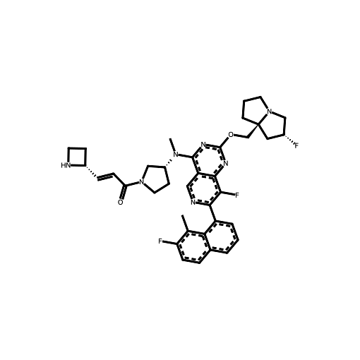 Cc1c(F)ccc2cccc(-c3ncc4c(N(C)[C@@H]5CCN(C(=O)/C=C/[C@H]6CCN6)C5)nc(OC[C@@]56CCCN5C[C@H](F)C6)nc4c3F)c12